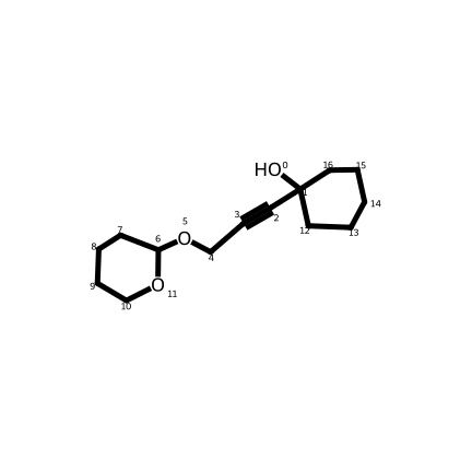 OC1(C#CCOC2CCCCO2)CCCCC1